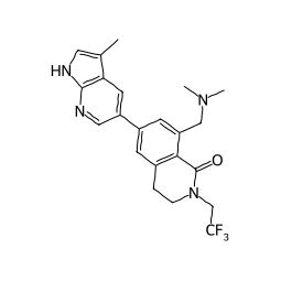 Cc1c[nH]c2ncc(-c3cc4c(c(CN(C)C)c3)C(=O)N(CC(F)(F)F)CC4)cc12